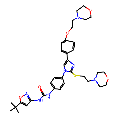 CC(C)(C)c1cc(NC(=O)Nc2ccc(-n3cc(-c4ccc(OCCN5CCOCC5)cc4)nc3SCCN3CCOCC3)cc2)no1